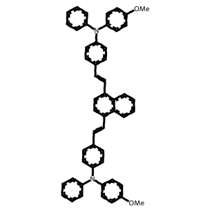 COc1ccc(N(c2ccccc2)c2ccc(/C=C/c3ccc(/C=C/c4ccc(N(c5ccccc5)c5ccc(OC)cc5)cc4)c4ccccc34)cc2)cc1